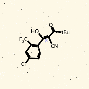 CC(C)(C)C(=O)/C(C#N)=C(\O)c1ccc(Cl)cc1C(F)(F)F